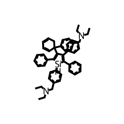 CCN(CC)Cc1ccc([SiH]2C(c3ccccc3)=C(c3ccccc3)C(C3(c4ccc(CN(CC)CC)cc4)C=CC=CC3)=C2c2ccccc2)cc1